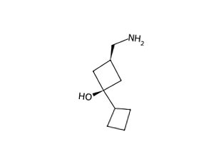 NC[C@H]1C[C@](O)(C2CCC2)C1